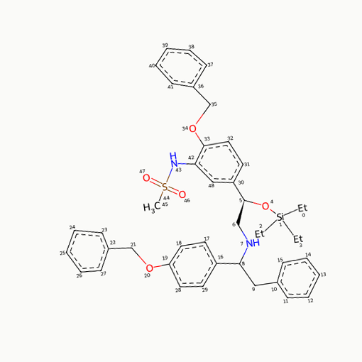 CC[Si](CC)(CC)O[C@@H](CNC(Cc1ccccc1)c1ccc(OCc2ccccc2)cc1)c1ccc(OCc2ccccc2)c(NS(C)(=O)=O)c1